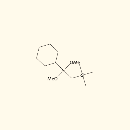 CO[Si](C[Si](C)(C)C)(OC)C1CCCCC1